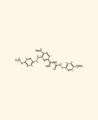 COc1ccc(COC(=O)NC(=N)c2ccc(OC)c(OCc3ccc(CN)cc3)c2)cc1